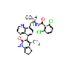 Cn1c2c(c(C(F)(F)F)c(-c3ccc(CC(NC(=O)c4c(Cl)cccc4Cl)C(=O)O)c4ncccc34)c1=O)CCC2